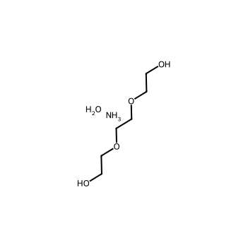 N.O.OCCOCCOCCO